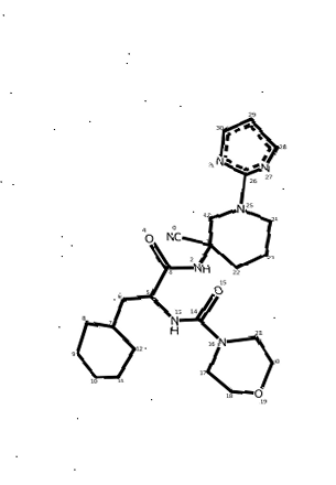 N#CC1(NC(=O)C(CC2CCCCC2)NC(=O)N2CCOCC2)CCCN(c2ncccn2)C1